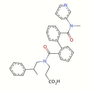 CC(CN(CCC(=O)O)C(=O)c1ccccc1-c1ccccc1C(=O)N(C)c1cccnc1)c1ccccc1